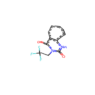 O=c1[nH]c2ccccc2c(=O)n1CC(F)(F)F